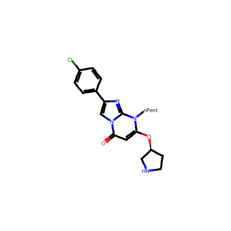 CCCCCn1c(O[C@H]2CCNC2)cc(=O)n2cc(-c3ccc(Cl)cc3)nc12